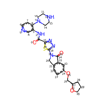 O=C(Nc1cnccc1N1CCNCC1)c1nnc(N2Cc3ccc(OCC4CCCO4)cc3C2=O)s1